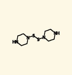 C1CN(SSN2CCNCC2)CCN1